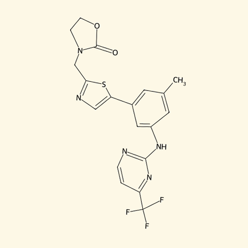 Cc1cc(Nc2nccc(C(F)(F)F)n2)cc(-c2cnc(CN3CCOC3=O)s2)c1